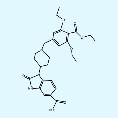 CCOC(=O)c1c(OCC)cc(CN2CCC(n3c(=O)[nH]c4cc(C(=O)O)ccc43)CC2)cc1OCC